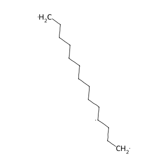 [CH2]CC[CH]CCCCCCCCC[CH2]